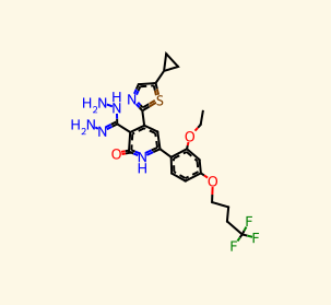 CCOc1cc(OCCCC(F)(F)F)ccc1-c1cc(-c2ncc(C3CC3)s2)c(/C(=N/N)NN)c(=O)[nH]1